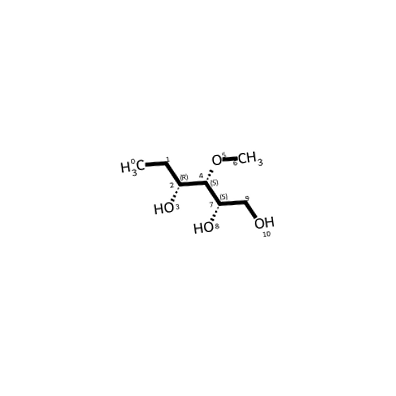 CC[C@@H](O)[C@H](OC)[C@@H](O)CO